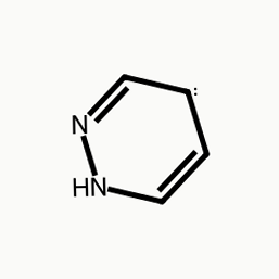 [C]1C=CNN=C1